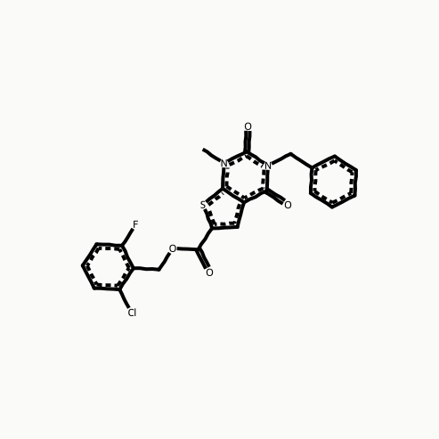 Cn1c(=O)n(Cc2ccccc2)c(=O)c2cc(C(=O)OCc3c(F)cccc3Cl)sc21